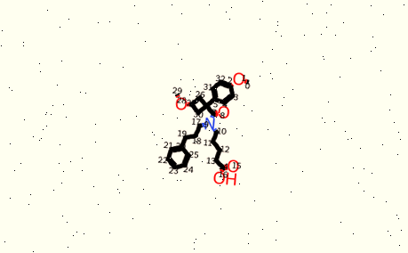 COc1ccc(C2(C(=O)N(CCCCC(=O)O)CCCc3ccccc3)CC(OC)C2)cc1